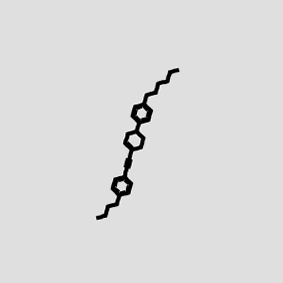 CCCCCCc1ccc(C2CC=C(C#Cc3ccc(CCCC)cc3)CC2)cc1